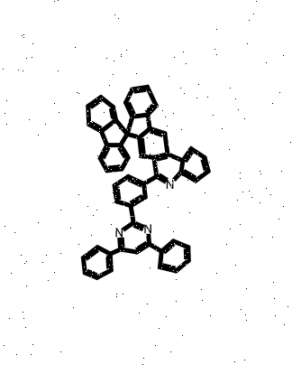 c1ccc(-c2cc(-c3ccccc3)nc(-c3cccc(-c4nc5ccccc5c5cc6c(cc45)C4(c5ccccc5-c5ccccc54)c4ccccc4-6)c3)n2)cc1